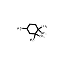 CC1(C)CC(N)CCC1(N)N